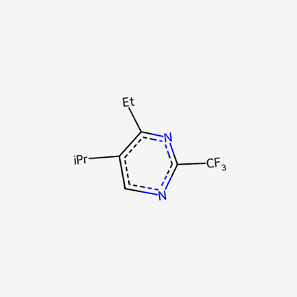 CCc1nc(C(F)(F)F)ncc1C(C)C